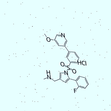 CNCc1cc(-c2ccccc2F)n(S(=O)(=O)c2cccc(-c3cncc(OC)c3)c2)c1.Cl